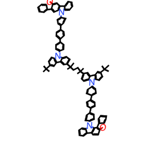 CC(C)(C)c1ccc2c(c1)c1cc(C(C)(C)CCC(C)(C)c3ccc4c(c3)c3cc(C(C)(C)C)ccc3n4-c3ccc(-c4ccc(-c5ccc(-n6c7ccccc7c7ccc8oc9ccccc9c8c76)cc5)cc4)cc3)ccc1n2-c1ccc(-c2ccc(-c3ccc(-n4c5ccccc5c5cc6oc7ccccc7c6cc54)cc3)cc2)cc1